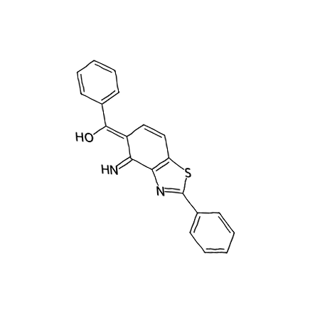 N=C1C(=C(O)c2ccccc2)C=Cc2sc(-c3ccccc3)nc21